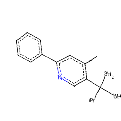 BC(B)(c1cnc(-c2ccccc2)cc1C)C(C)C